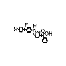 CC(C)N1CCN(c2ccc(Nc3nccc(N(C(=O)O)c4ccccc4)n3)cc2F)CC1